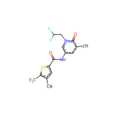 N#Cc1cc(C(=O)Nc2cc(C#N)c(=O)n(CC(F)F)c2)sc1C(F)(F)F